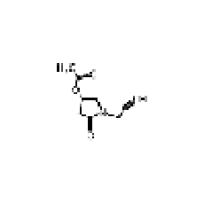 C#CCN1C[C@@H](OC(C)=O)CC1=O